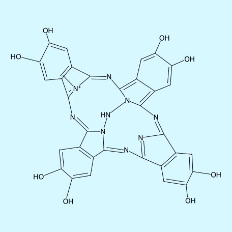 C[N+]1=C2/N=c3/c4cc(O)c(O)cc4/c4n3Nn3c(c5cc(O)c(O)cc5c3/N=C1/c1cc(O)c(O)cc12)/N=C1N=C(/N=4)c2cc(O)c(O)cc2\1